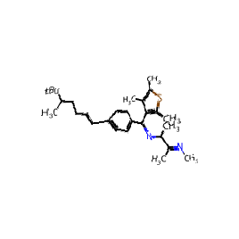 C/N=C(\C)C(C)/N=C(/c1ccc(CCCCC(C)C(C)(C)C)cc1)c1c(C)sc(C)c1C